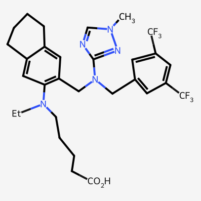 CCN(CCCCC(=O)O)c1cc2c(cc1CN(Cc1cc(C(F)(F)F)cc(C(F)(F)F)c1)c1ncn(C)n1)CCCC2